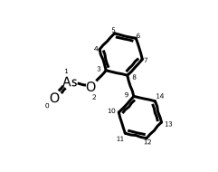 O=[As]Oc1ccccc1-c1ccccc1